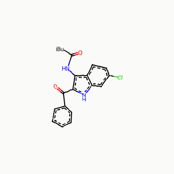 CCC(C)C(=O)Nc1c(C(=O)c2ccccc2)[nH]c2cc(Cl)ccc12